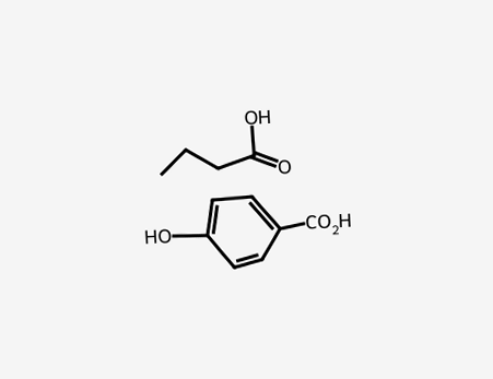 CCCC(=O)O.O=C(O)c1ccc(O)cc1